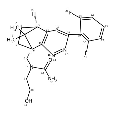 CC1(C)[C@H]2CC[C@]1(CN(CCO)C(N)=O)c1nnc(-c3c(F)cccc3F)cc12